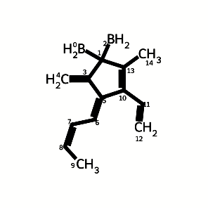 BC1(B)C(=C)/C(=C\C=C/C)C(C=C)=C1C